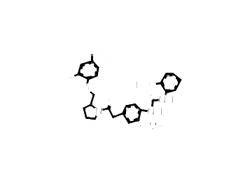 COc1cc(CC(=O)N2CCCC2COc2ccc(C(=O)O)cc2F)ccc1NC(=O)Nc1ccccc1C